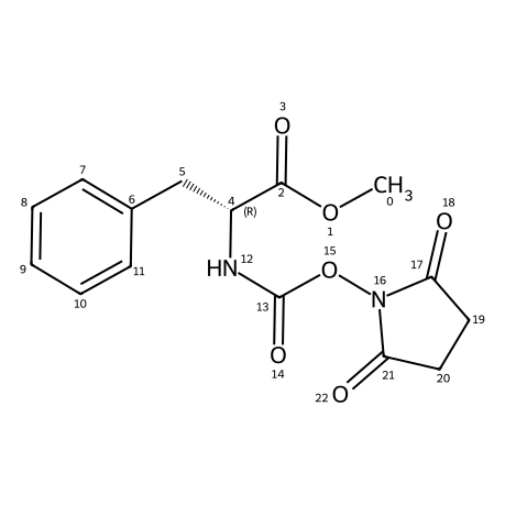 COC(=O)[C@@H](Cc1ccccc1)NC(=O)ON1C(=O)CCC1=O